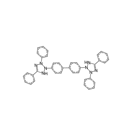 c1ccc(C2=NN(c3ccccc3)N(c3ccc(-c4ccc(N5NC(c6ccccc6)=NN5c5ccccc5)cc4)cc3)N2)cc1